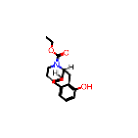 CCOC(=O)N1CC[C@]23CCCC[C@H]2[C@H]1Cc1c(O)cccc13